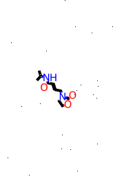 CC(C)NC(=O)/C=C/CN1CCOC1=O